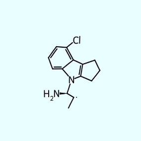 C[CH][C@@H](N)n1c2c(c3c(Cl)cccc31)CCC2